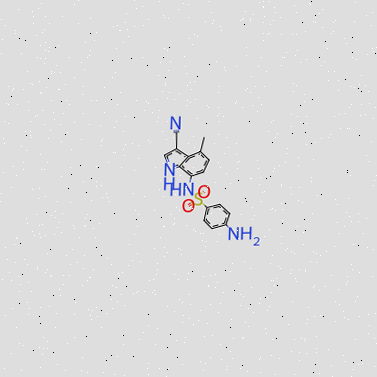 Cc1ccc(NS(=O)(=O)c2ccc(N)cc2)c2[nH]cc(C#N)c12